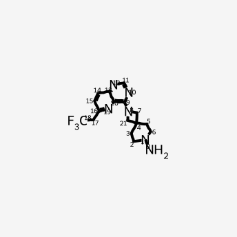 NN1CCC2(CC1)CN(c1ncnc3ccc(CC(F)(F)F)nc13)C2